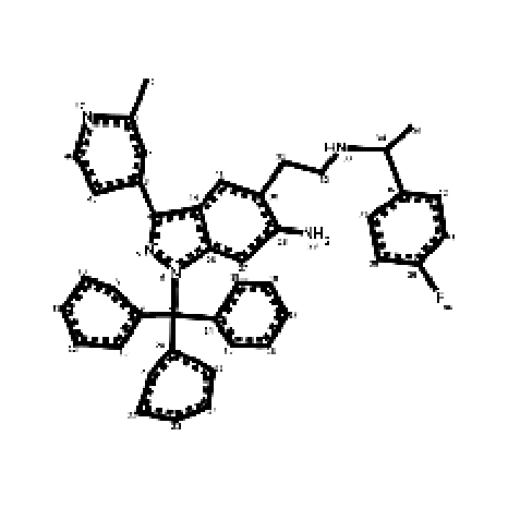 Cc1cc(-c2nn(C(c3ccccc3)(c3ccccc3)c3ccccc3)c3cc(N)c(CCNC(C)c4ccc(F)cc4)cc23)ccn1